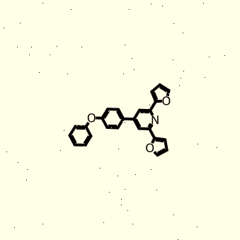 c1ccc(Oc2ccc(-c3cc(-c4ccco4)nc(-c4ccco4)c3)cc2)cc1